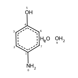 Nc1ccc(O)cc1.O.O